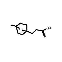 O=C(O)CCC12CCC(I)(CC1)OC2